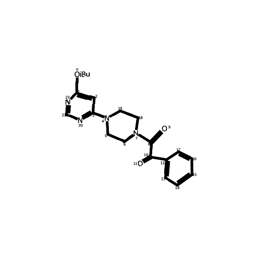 CC(C)COc1cc(N2CCN(C(=O)C(=O)c3ccccc3)CC2)ncn1